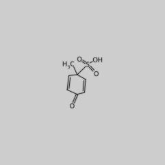 CC1(S(=O)(=O)O)C=CC(=O)C=C1